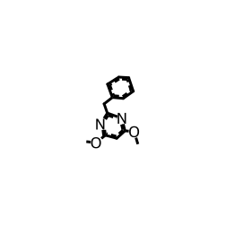 COc1cc(OC)nc(Cc2ccccc2)n1